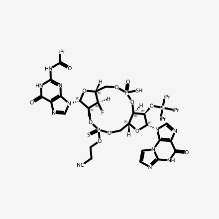 CC(C)C(=O)Nc1nc2c(ncn2[C@@H]2O[C@@H]3COP(=O)(S)O[C@H]4[C@@H](O[Si](C(C)C)(C(C)C)C(C)C)[C@H](n5cnc6c(=O)[nH]c7nccn7c65)O[C@@H]4COP(=S)(OCCC#N)O[C@@H]2[C@@H]3F)c(=O)[nH]1